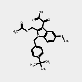 COc1ccc2c(c1)c(C(=O)C(=O)O)c(COC(C)=O)n2Cc1ccc(C(C)(C)C)cc1